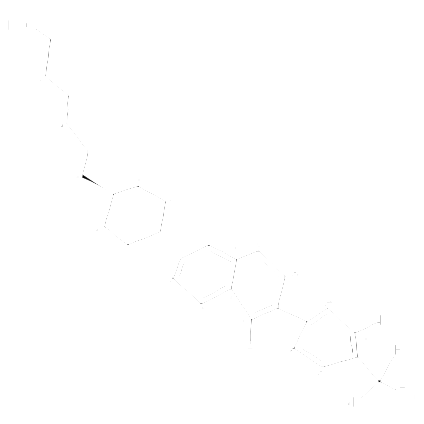 CCCCCCC[C@H]1CC[C@H](c2ccc3c(F)c(-c4ccc(C(F)(F)F)c(F)c4)ccc3c2)CC1